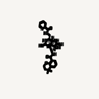 CC1(C)CCOc2c(C(=O)NC3CN4C(=N)N[C@@H](CNC(=O)c5ccccn5)[C@@H]5NC(=N)NC54[C@@H]3O)cccc21